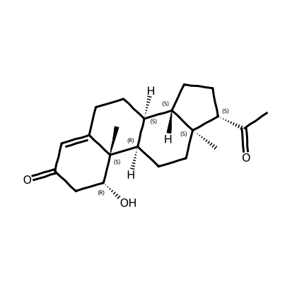 CC(=O)[C@H]1CC[C@H]2[C@@H]3CCC4=CC(=O)C[C@@H](O)[C@@]4(C)[C@@H]3CC[C@]12C